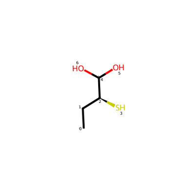 CC[C@H](S)[C](O)O